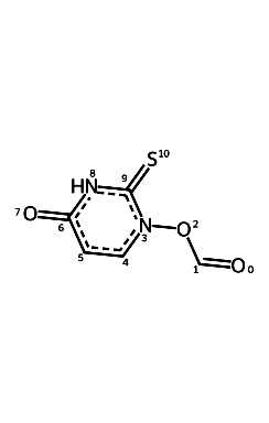 O=COn1ccc(=O)[nH]c1=S